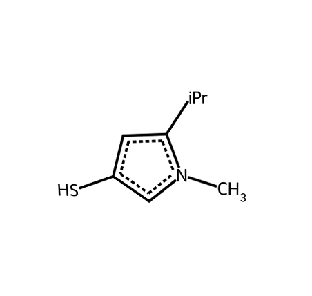 CC(C)c1cc(S)cn1C